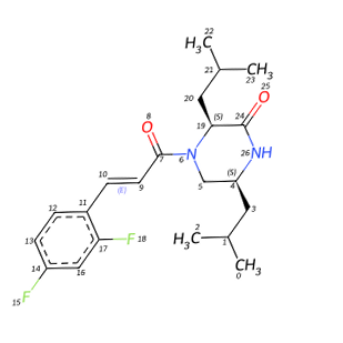 CC(C)C[C@H]1CN(C(=O)/C=C/c2ccc(F)cc2F)[C@@H](CC(C)C)C(=O)N1